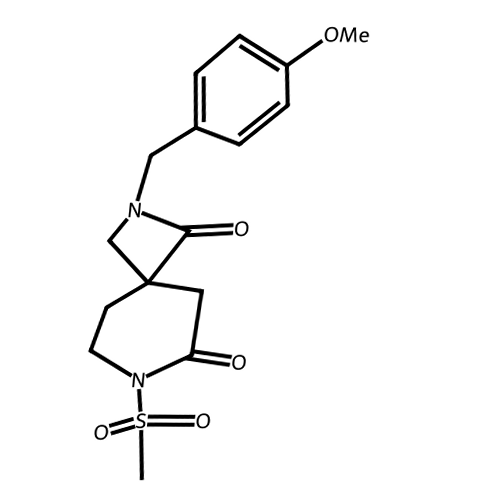 COc1ccc(CN2CC3(CCN(S(C)(=O)=O)C(=O)C3)C2=O)cc1